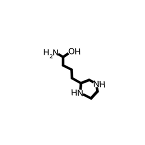 NC(O)CCCC1CNCCN1